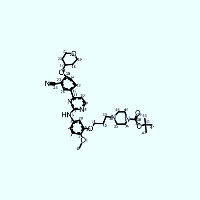 COc1ccc(Nc2nccc(-c3ccc(OC4CCOCC4)c(C#N)c3)n2)cc1OCCCN1CCN(C(=O)OC(C)(C)C)CC1